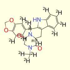 [2H]c1c([2H])c([C@]2([2H])c3[nH]c4c([2H])c([2H])c([2H])c([2H])c4c3C[C@]3([2H])C(=O)N(C([2H])([2H])[2H])CC(=O)N23)c([2H])c2c1OCO2